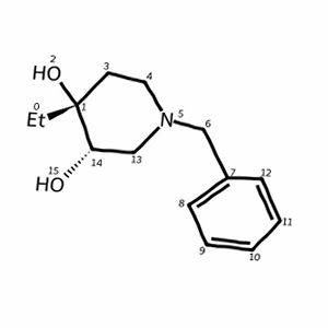 CC[C@@]1(O)CCN(Cc2ccccc2)C[C@@H]1O